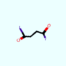 O=C(I)CCC(=O)I